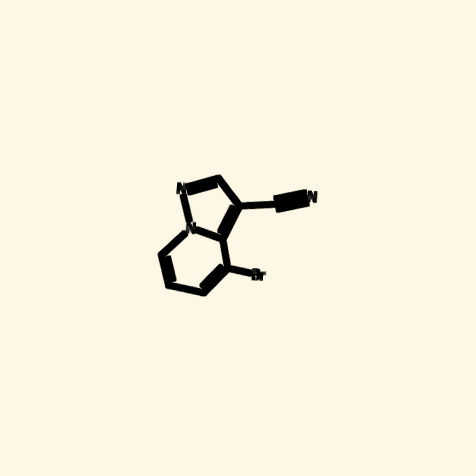 N#Cc1cnn2cccc(Br)c12